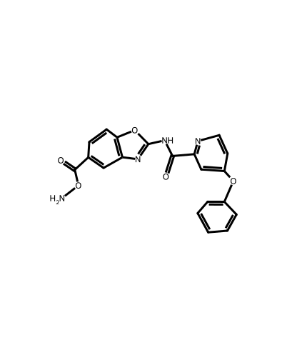 NOC(=O)c1ccc2oc(NC(=O)c3cc(Oc4ccccc4)ccn3)nc2c1